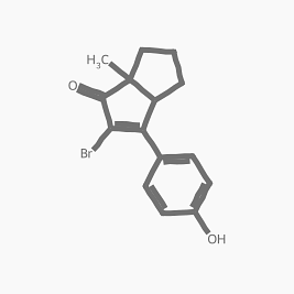 CC12CCCC1C(c1ccc(O)cc1)=C(Br)C2=O